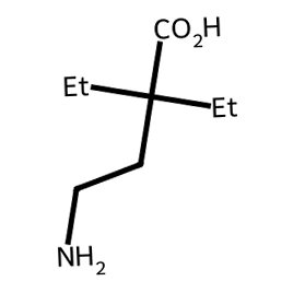 CCC(CC)(CCN)C(=O)O